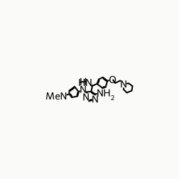 CNc1ccc(Nc2ncnc(N)c2C(=N)c2ccc(OCCN3CCCCC3)cc2)cc1